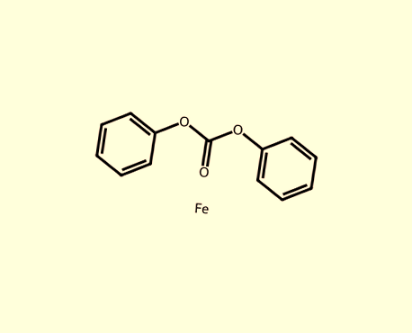 O=C(Oc1ccccc1)Oc1ccccc1.[Fe]